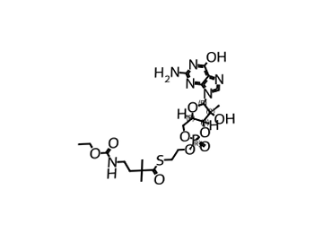 CCOC(=O)NCCC(C)(C)C(=O)SCCO[P@@]1(=O)OC[C@H]2O[C@@H](n3cnc4c(O)nc(N)nc43)[C@](C)(O)[C@@H]2O1